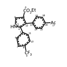 CCOC(=O)c1c[nH]c(-c2ccc(C(F)(F)F)cc2)c1-c1ccc(C(C)=O)cc1